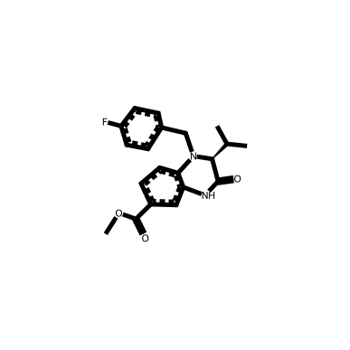 COC(=O)c1ccc2c(c1)NC(=O)[C@H](C(C)C)N2Cc1ccc(F)cc1